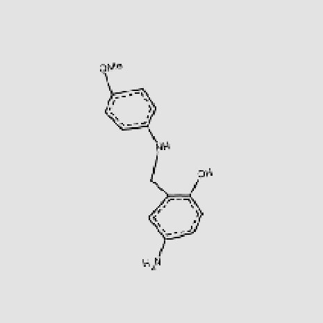 COc1ccc(NCc2cc(N)ccc2O)cc1